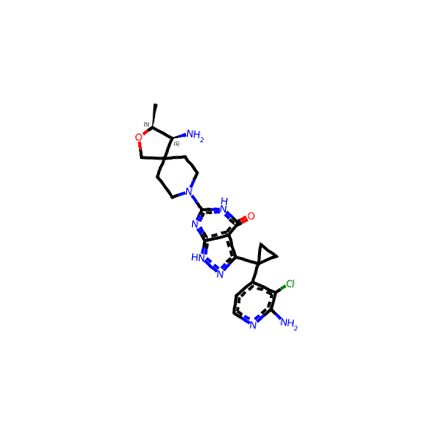 C[C@@H]1OCC2(CCN(c3nc4[nH]nc(C5(c6ccnc(N)c6Cl)CC5)c4c(=O)[nH]3)CC2)[C@@H]1N